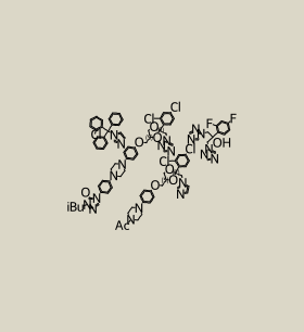 CC(=O)N1CCN(c2ccc(OC[C@H]3CO[C@](Cn4ccnc4)(c4ccc(Cl)cc4Cl)O3)cc2)CC1.CCC(C)n1ncn(-c2ccc(N3CCN(c4ccc(OC[C@H]5CO[C@](Cn6cncn6)(c6ccc(Cl)cc6Cl)O5)cc4)CC3)cc2)c1=O.Clc1ccccc1C(c1ccccc1)(c1ccccc1)n1ccnc1.OC(Cn1cncn1)(Cn1cncn1)c1ccc(F)cc1F